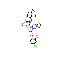 N#C[C@H](C[C@@H]1CCC2(CC2)NC1=O)NC(=O)[C@@H]1CC2(CCC2)CN1C(=O)COc1ccc(Cl)cc1Cl